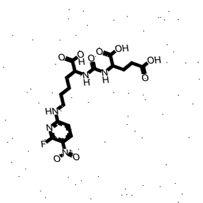 O=C(O)CCC(NC(=O)NC(CCCCNc1ccc([N+](=O)[O-])c(F)n1)C(=O)O)C(=O)O